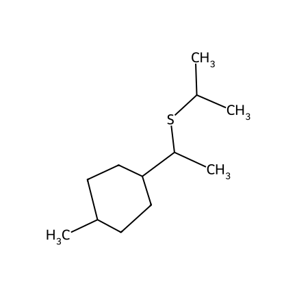 CC1CCC(C(C)SC(C)C)CC1